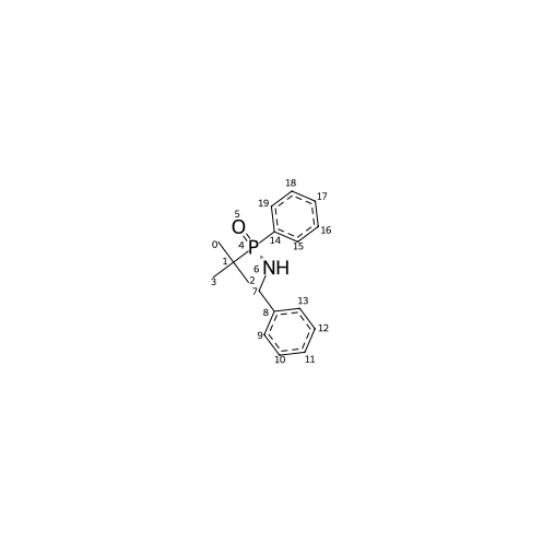 CC(C)(C)[P@](=O)(NCc1ccccc1)c1ccccc1